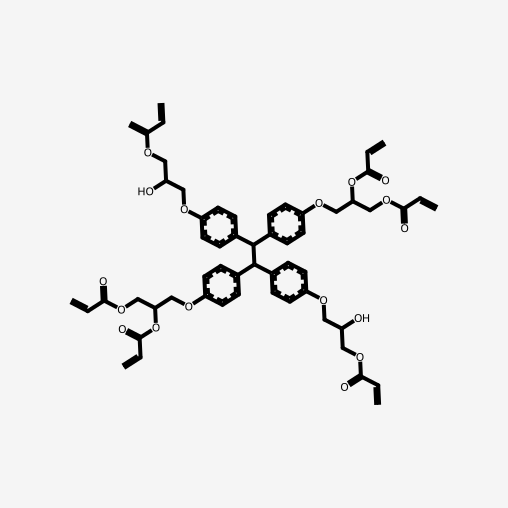 C=CC(=C)OCC(O)COc1ccc(C(c2ccc(OCC(COC(=O)C=C)OC(=O)C=C)cc2)C(c2ccc(OCC(O)COC(=O)C=C)cc2)c2ccc(OCC(COC(=O)C=C)OC(=O)C=C)cc2)cc1